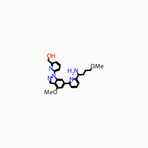 COCCCC(N)c1cccc(-c2cc(OC)c3cnn(-c4cccc(CO)n4)c3c2)n1